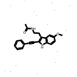 COc1ccc2[nH]c(C#Cc3ccccc3)c(CCNC(C)=O)c2c1